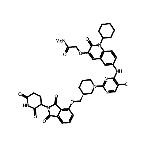 CNC(=O)COc1cc2cc(Nc3nc(N4CCC[C@H](COc5cccc6c5C(=O)N(C5CCC(=O)NC5=O)C6=O)C4)ncc3Cl)ccc2n(C2CCCCC2)c1=O